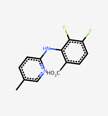 Cc1ccc(Nc2c(C(=O)O)ccc(F)c2F)nc1